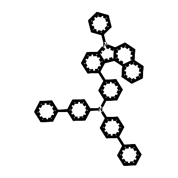 c1ccc(-c2ccc(N(c3ccc(-c4ccccc4)cc3)c3cccc(-c4cccc5c4c4c6ccccc6ccc4n5-c4ccccc4)c3)cc2)cc1